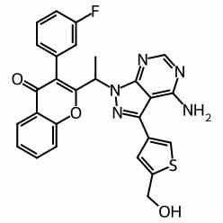 CC(c1oc2ccccc2c(=O)c1-c1cccc(F)c1)n1nc(-c2csc(CO)c2)c2c(N)ncnc21